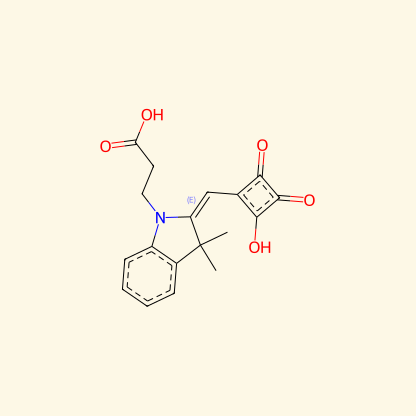 CC1(C)/C(=C\c2c(O)c(=O)c2=O)N(CCC(=O)O)c2ccccc21